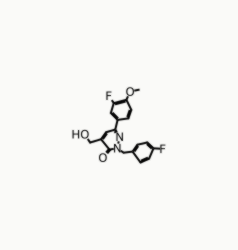 COc1ccc(-c2cc(CO)c(=O)n(Cc3ccc(F)cc3)n2)cc1F